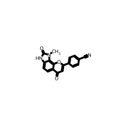 Cn1c(=O)[nH]c2ccc3c(=O)cc(-c4ccc(C#N)cc4)oc3c21